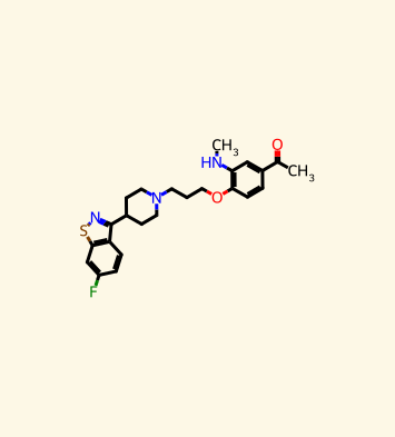 CNc1cc(C(C)=O)ccc1OCCCN1CCC(c2nsc3cc(F)ccc23)CC1